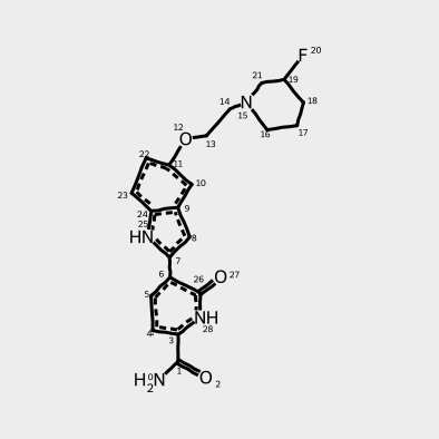 NC(=O)c1[c]cc(-c2cc3cc(OCCN4CCCC(F)C4)ccc3[nH]2)c(=O)[nH]1